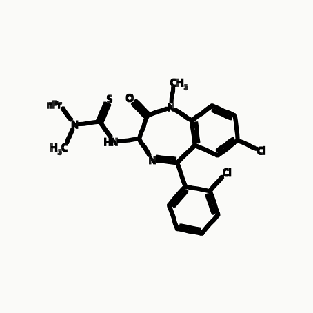 CCCN(C)C(=S)NC1N=C(c2ccccc2Cl)c2cc(Cl)ccc2N(C)C1=O